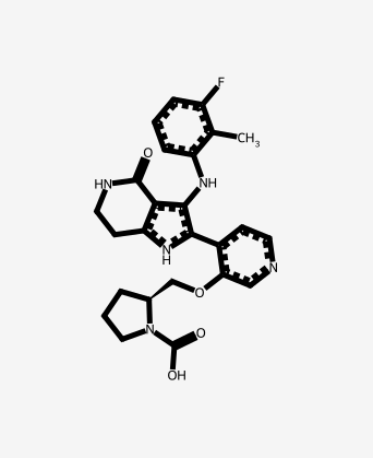 Cc1c(F)cccc1Nc1c(-c2ccncc2OC[C@@H]2CCCN2C(=O)O)[nH]c2c1C(=O)NCC2